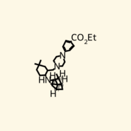 CCOC(=O)c1ccc(N2CCN(CC3CC(C)(C)CCC3N[C@H]3C[C@@H]4C[C@H]([C@@H]3C)C4(C)C)CC2)cc1